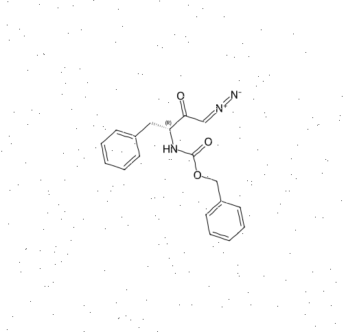 [N-]=[N+]=CC(=O)[C@@H](Cc1ccccc1)NC(=O)OCc1ccccc1